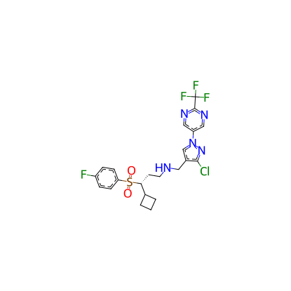 O=S(=O)(c1ccc(F)cc1)[C@H](CCNCc1cn(-c2cnc(C(F)(F)F)nc2)nc1Cl)C1CCC1